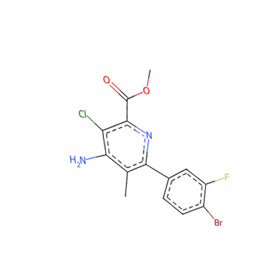 COC(=O)c1nc(-c2ccc(Br)c(F)c2)c(C)c(N)c1Cl